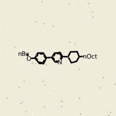 CCCCCCCCC1CCC(c2ccc(-c3ccc(OCCCC)cc3)cn2)CC1